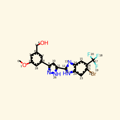 COc1cc(CO)cc(-c2cc(-c3nc4cc(C(F)(F)F)c(Br)cc4[nH]3)[nH]n2)c1